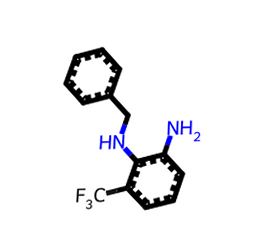 Nc1cccc(C(F)(F)F)c1NCc1ccccc1